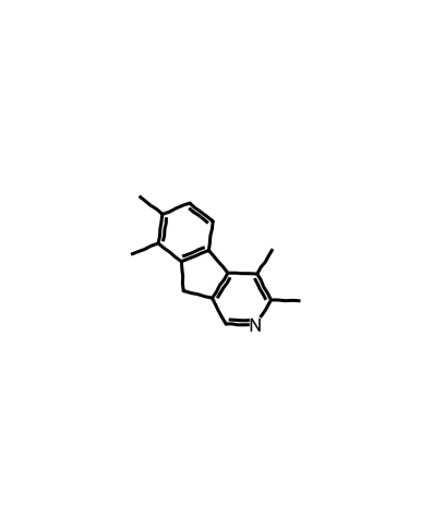 Cc1ccc2c(c1C)Cc1cnc(C)c(C)c1-2